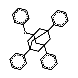 c1ccc(OC23CC4(c5ccccc5)CC(c5ccccc5)(C2)CC(c2ccccc2)(C3)C4)cc1